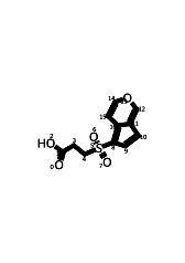 O=C(O)CCS(=O)(=O)c1ccc2coccc1-2